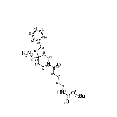 CC(C)(C)OC(=O)NCCCCC(=O)N1CCC(CN)(CCc2ccccc2)CC1